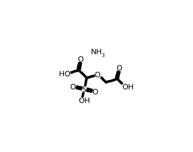 N.O=C(O)COC(C(=O)O)S(=O)(=O)O